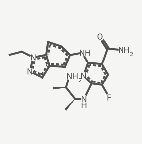 CCn1ncc2cc(Nc3nc(N[C@@H](C)[C@@H](C)N)c(F)cc3C(N)=O)ccc21